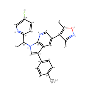 Cc1noc(C)c1-c1cnc2c(c1)c(-c1ccc(C(=O)O)cc1)cn2C(C)c1ccc(F)cn1